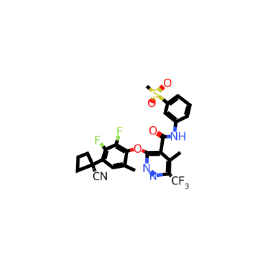 Cc1cc(C2(C#N)CCC2)c(F)c(F)c1Oc1nnc(C(F)(F)F)c(C)c1C(=O)Nc1cccc(S(C)(=O)=O)c1